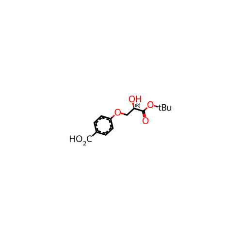 CC(C)(C)OC(=O)[C@H](O)COc1ccc(C(=O)O)cc1